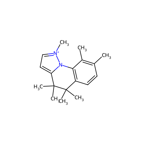 Cc1ccc2c(c1C)-n1c(cc[n+]1C)C(C)(C)C2(C)C